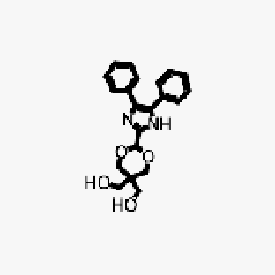 OCC1(CO)COC(c2nc(-c3ccccc3)c(-c3ccccc3)[nH]2)OC1